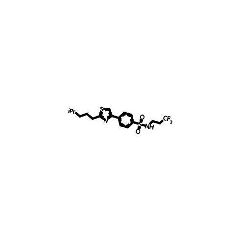 CC(C)CCCc1nc(-c2ccc(S(=O)(=O)NCCC(F)(F)F)cc2)cs1